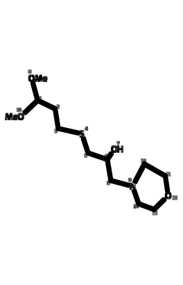 COC(CCSCC(O)CN1CCOCC1)OC